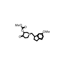 COC(=O)OC1CN(CC2CCc3ccc(OC)cc32)CCC1=O